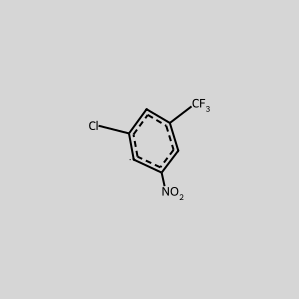 O=[N+]([O-])c1[c]c(Cl)cc(C(F)(F)F)c1